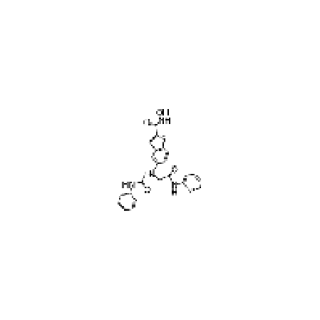 O=C(CN(CC(=O)Nc1ccccc1)c1ccc2sc(C(=O)NO)cc2c1)Nc1ccccc1